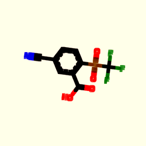 N#Cc1ccc(S(=O)(=O)C(F)(F)F)c(C(=O)O)c1